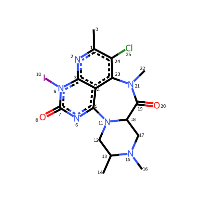 Cc1nc2c3c(nc(=O)n2I)N2CC(C)N(C)CC2C(=O)N(C)c3c1Cl